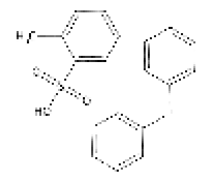 Cc1ccccc1S(=O)(=O)O.c1ccc([I+]c2ccccc2)cc1